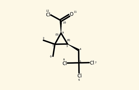 CC1(C)[C@H](CC(Cl)(Cl)Cl)[C@@H]1C(=O)Cl